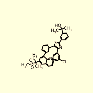 CC(C)(O)c1cccc(-c2nc(-c3cccc(Cl)c3)c(-c3cccc(-c4cc(C(C)(C)S(C)(=O)=O)cc5cccnc45)c3)s2)c1